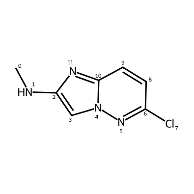 CNc1cn2nc(Cl)ccc2n1